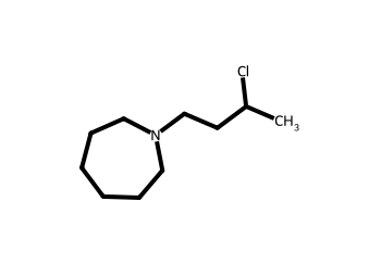 CC(Cl)CCN1CCCCCC1